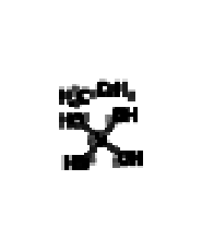 C.O[Si](O)(O)O.[CaH2]